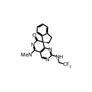 CNC1=NC(=O)[C@@]2(CCc3ccccc32)c2nc(NCC(F)(F)F)ncc21